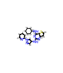 c1ccc(-n2cc(Nc3nc(NC4CCCCC4)c4sccc4n3)cn2)nc1